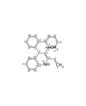 C=CC1=C(C=C)C(c2ccccc2-c2ccccc2)c2ccccc2N1